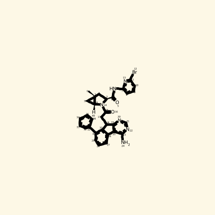 C[C@@]12C[C@@H](C(=O)Nc3cccc(Br)n3)N(C(=O)CC3c4ncnc(N)c4-c4cccc(-c5ccccc5)c43)[C@@H]1C2